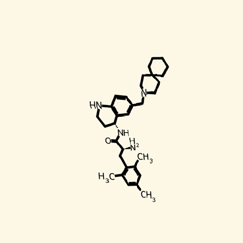 Cc1cc(C)c(C[C@H](N)C(=O)N[C@@H]2CCNc3ccc(CN4CCC5(CCCCC5)CC4)cc32)c(C)c1